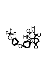 O=C1NC(=O)C2(CCC(=O)N2c2ccc(Oc3ccc(OC(F)(F)F)cc3)cc2)C(=O)N1